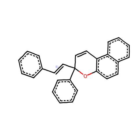 C1=CC(/C=C/c2ccccc2)(c2ccccc2)Oc2ccc3ccccc3c21